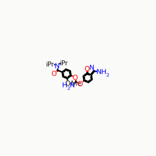 COc1cc(C(=O)N(C(C)C)C(C)C)ccc1OC(N)Oc1ccc2c(N)noc2c1